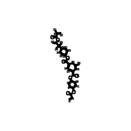 C=CC(=O)Oc1ccc(OC(=O)C2=CC=C(C(=O)Oc3ccc(C(C)(C)C(C)OC(=O)C(=C)C)cc3)CC(C)=C2)cc1